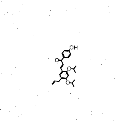 C=CCc1cc(C=CC(=O)c2ccc(O)cc2)c(OC(C)C)cc1OC(C)C